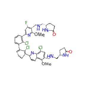 COc1nc(-c2cccc(-c3cccc(-c4ccc5c(OC)c(CNC[C@H]6CCC(=O)N6)cc(Cl)c5n4)c3Cl)c2Cl)cc(F)c1CNC[C@@H]1CCC(=O)N1